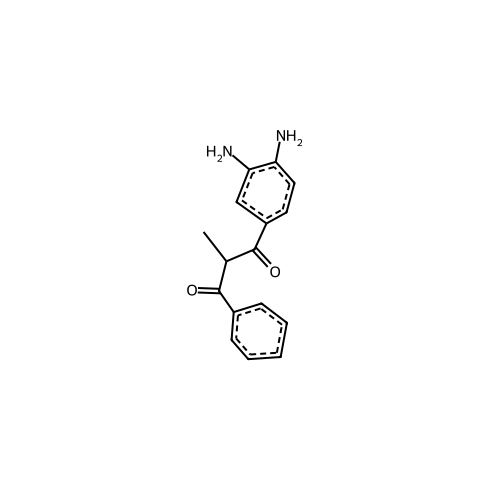 CC(C(=O)c1ccccc1)C(=O)c1ccc(N)c(N)c1